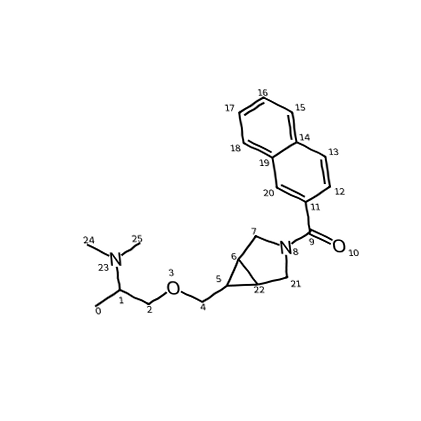 CC(COCC1C2CN(C(=O)c3ccc4ccccc4c3)CC12)N(C)C